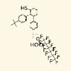 CC(C)(C)c1ccc(-c2cccc(S)c2-c2ccc(C(C)(C)C)cc2)cc1.O=S(=O)(O)C(F)(F)C(F)(F)C(F)(F)C(F)(F)C(F)(F)C(F)(F)F